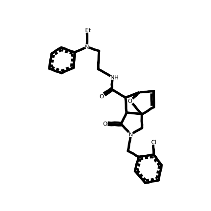 CCN(CCNC(=O)C1C2C=CC3(CN(Cc4ccccc4Cl)C(=O)C13)O2)c1ccccc1